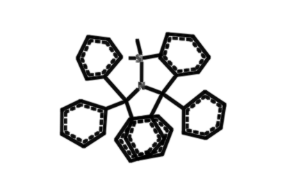 C[Si](C)(C)N(C(c1ccccc1)(c1ccccc1)c1ccccc1)C(c1ccccc1)(c1ccccc1)c1ccccc1